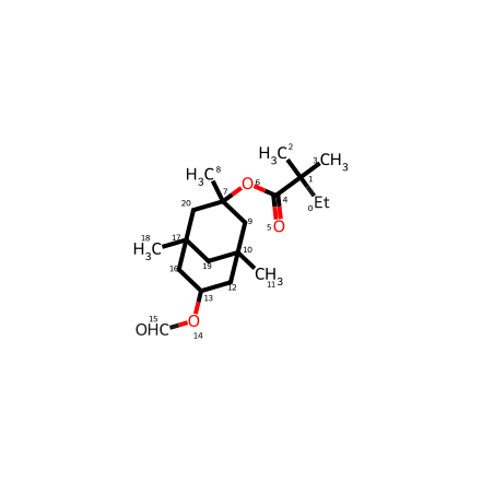 CCC(C)(C)C(=O)OC1(C)CC2(C)CC(OC=O)CC(C)(C2)C1